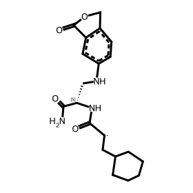 NC(=O)[C@H](CNc1ccc2c(c1)C(=O)OC2)NC(=O)[CH]CC1CCCCC1